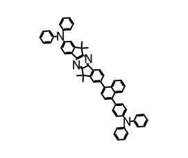 CC1(C)c2cc(-c3ccc(-c4ccc(N(c5ccccc5)c5ccccc5)cc4)c4ccccc34)ccc2-c2nc3c(nc21)-c1ccc(N(c2ccccc2)c2ccccc2)cc1C3(C)C